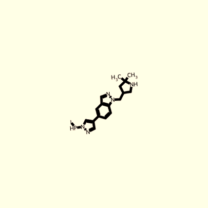 CC1(C)CC(Cn2ncc3cc(-c4cnn(PI)c4)ccc32)CN1